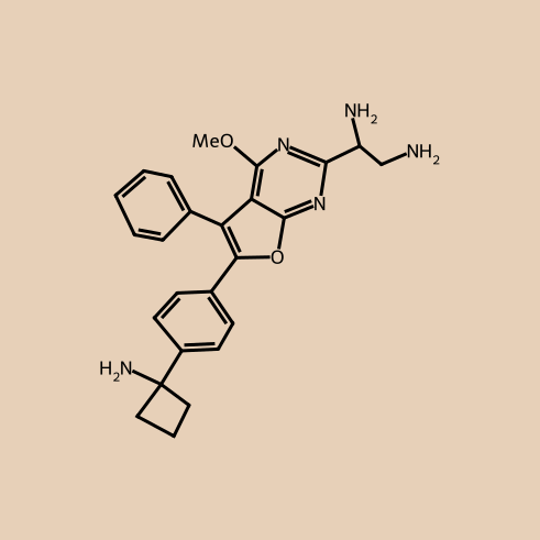 COc1nc(C(N)CN)nc2oc(-c3ccc(C4(N)CCC4)cc3)c(-c3ccccc3)c12